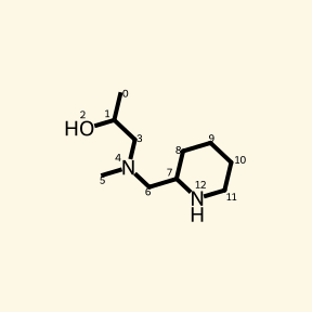 CC(O)CN(C)CC1CCCCN1